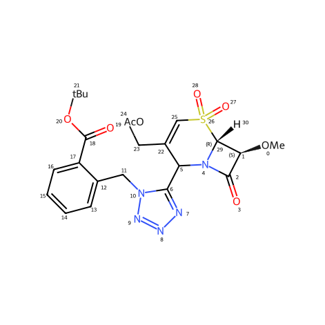 CO[C@H]1C(=O)N2C(c3nnnn3Cc3ccccc3C(=O)OC(C)(C)C)C(COC(C)=O)=CS(=O)(=O)[C@H]12